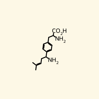 CC(C)=CCC(N)c1ccc(CC(N)C(=O)O)cc1